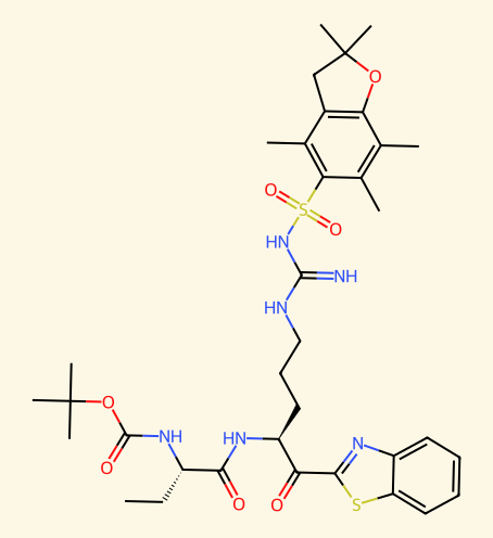 CC[C@H](NC(=O)OC(C)(C)C)C(=O)N[C@@H](CCCNC(=N)NS(=O)(=O)c1c(C)c(C)c2c(c1C)CC(C)(C)O2)C(=O)c1nc2ccccc2s1